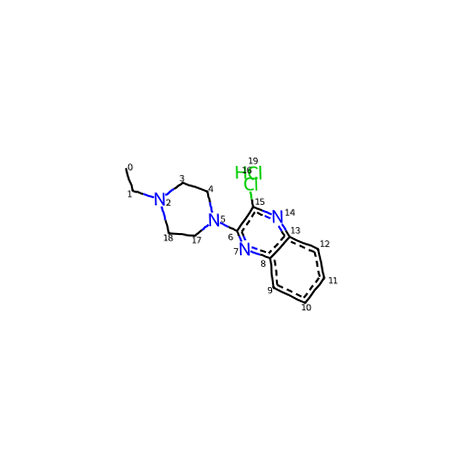 CCN1CCN(c2nc3ccccc3nc2Cl)CC1.Cl